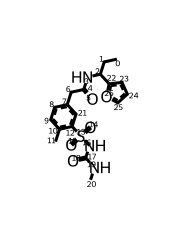 CCC(NC(=O)Cc1ccc(C)c(S(=O)(=O)NC(=O)NC)c1)c1ccco1